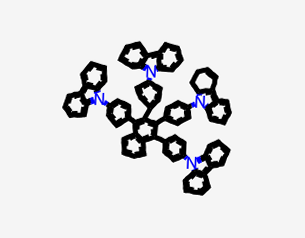 C1=Cc2c(n(-c3ccc(-c4c(-c5ccc(-n6c7ccccc7c7ccccc76)cc5)c(-c5ccc(-n6c7ccccc7c7ccccc76)cc5)c5ccccc5c4-c4ccc(-n5c6ccccc6c6ccccc65)cc4)cc3)c3ccccc23)CC1